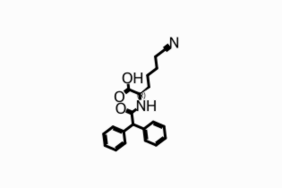 N#CCCCC[C@@H](NC(=O)C(c1ccccc1)c1ccccc1)C(=O)O